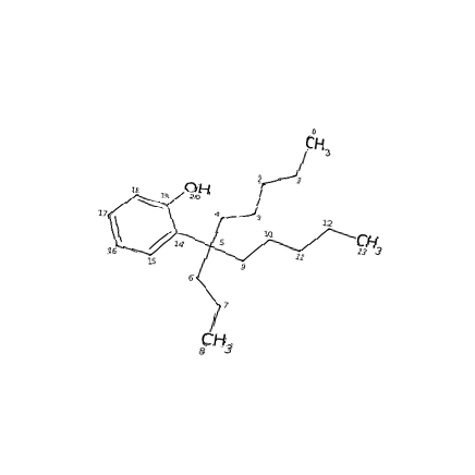 CCCCCC(CCC)(CCCCC)c1ccccc1O